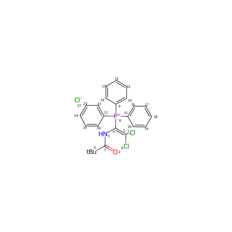 CC(C)(C)C(=O)NC(=C(Cl)Cl)[P+](c1ccccc1)(c1ccccc1)c1ccccc1.[Cl-]